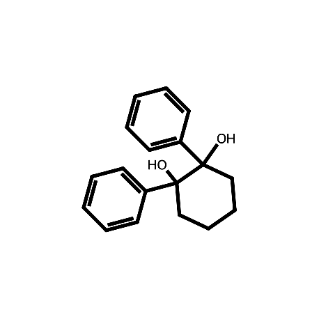 OC1(c2ccccc2)CCCCC1(O)c1ccccc1